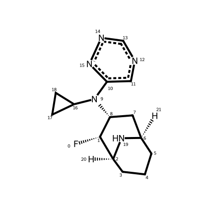 F[C@H]1[C@@H]2CCC[C@H](C[C@H]1N(c1cncnn1)C1CC1)N2